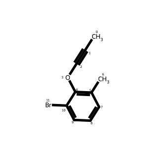 CC#COc1c(C)cccc1Br